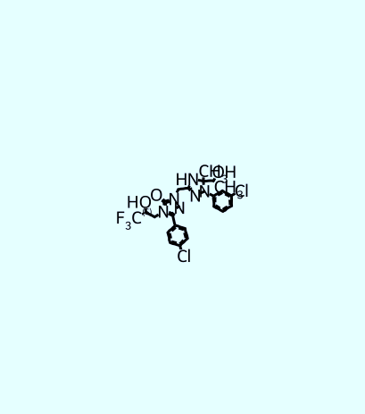 CC(O)C1(C)NC(Cn2nc(-c3ccc(Cl)cc3)n(C[C@H](O)C(F)(F)F)c2=O)=NN1c1cccc(Cl)c1